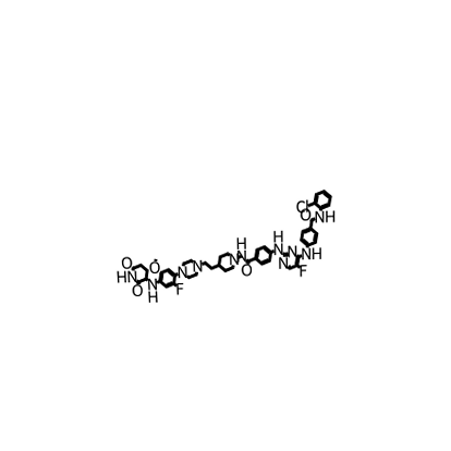 COc1cc(N2CCN(CCC3CCN(NC(=O)c4ccc(Nc5ncc(F)c(Nc6ccc(C(=O)Nc7ccccc7Cl)cc6)n5)cc4)CC3)CC2)c(F)cc1NC1CCC(=O)NC1=O